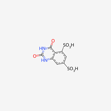 O=c1[nH]c(=O)c2c(S(=O)(=O)O)cc(S(=O)(=O)O)cc2[nH]1